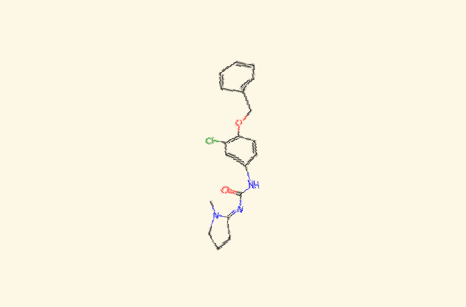 CN1CCC/C1=N/C(=O)Nc1ccc(OCc2ccccc2)c(Cl)c1